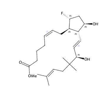 COC(=O)CCC/C=C\C[C@@H]1[C@@H](/C=C/[C@@H](O)C(C)(C)CC=C(C)C)[C@H](O)C[C@H]1F